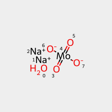 O.[Na+].[Na+].[O]=[Mo](=[O])([O-])[O-]